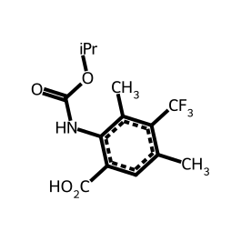 Cc1cc(C(=O)O)c(NC(=O)OC(C)C)c(C)c1C(F)(F)F